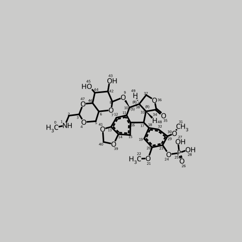 CNCC1OCC2OC(O[C@@H]3c4cc5c(cc4C(c4cc(OC)c(OP(=O)(O)O)c(OC)c4)[C@H]4C(=O)OC[C@H]34)OCO5)C(O)C(O)C2O1